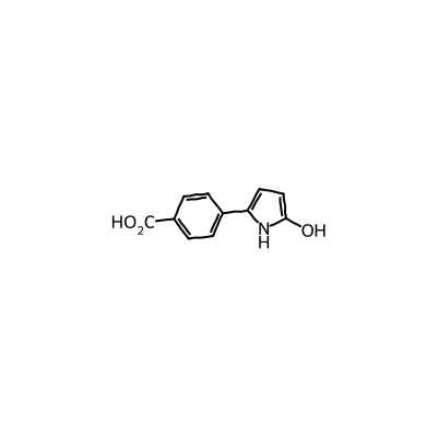 O=C(O)c1ccc(-c2ccc(O)[nH]2)cc1